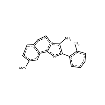 CSc1ccc2ccn3c(N)c(-c4ccccc4C)nc3c2c1